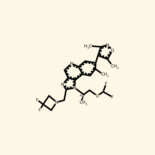 Cc1cc2c(cc1-c1c(C)noc1C)ncc1nc(CN3CC(F)(F)C3)n([C@H](C)COC(F)F)c12